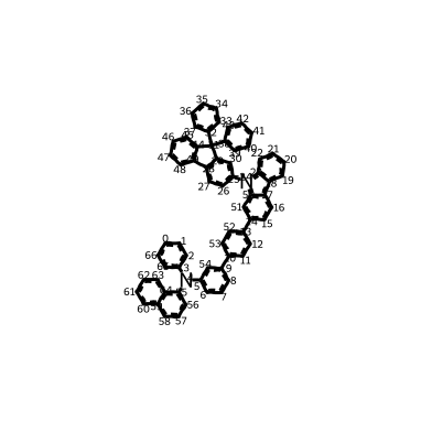 c1ccc(N(c2cccc(-c3ccc(-c4ccc5c6ccccc6n(-c6ccc7c(c6)C(c6ccccc6)(c6ccccc6)c6ccccc6-7)c5c4)cc3)c2)c2cccc3ccccc23)cc1